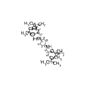 CC(C)OCC(CNC1CCC(NCC(COC(C)C)OC(C)C)CC1)OC(C)C